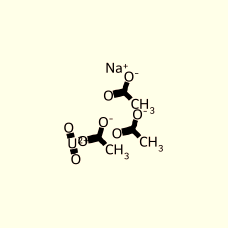 CC(=O)[O-].CC(=O)[O-].CC(=O)[O-].[Na+].[O]=[U+2]=[O]